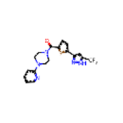 O=C(c1ccc(-c2cc(C(F)(F)F)[nH]n2)s1)N1CCN(c2ccccn2)CC1